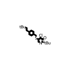 CC(C)(C)C=Cc1ccc(CSc2cnn(C(C)(C)C)c(=O)c2Cl)cc1